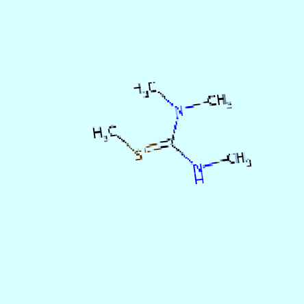 CN/C(=[S+]/C)N(C)C